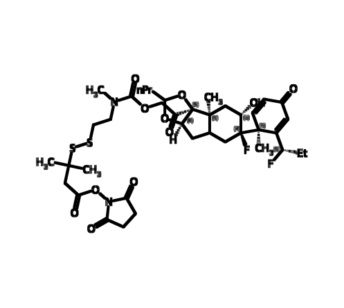 CCCC1O[C@@H]2CC3C[C@@](F)([C@@]4(C)C=CC(=O)C=C4[C@@H](F)CC)[C@@H](O)C[C@]3(C)[C@]2(C(=O)COC(=O)N(C)CCSSC(C)(C)CC(=O)ON2C(=O)CCC2=O)O1